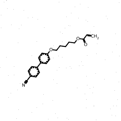 C=CC(=O)OCCCCCOc1ccc(-c2ccc(C#N)cc2)cc1